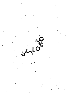 CN(C)c1nc(N[C@H]2CC[C@@H](CNC(=O)CCC(=O)c3cccs3)CC2)nc2ccccc12